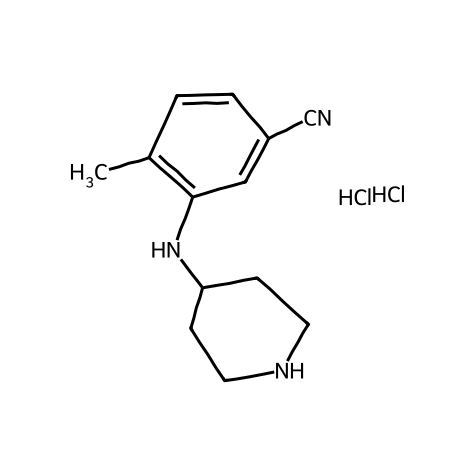 Cc1ccc(C#N)cc1NC1CCNCC1.Cl.Cl